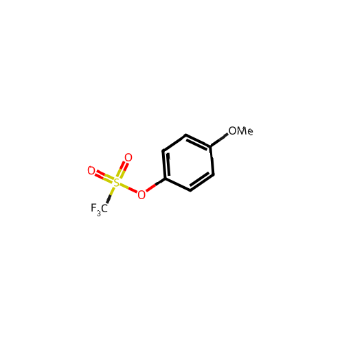 COc1ccc(OS(=O)(=O)C(F)(F)F)cc1